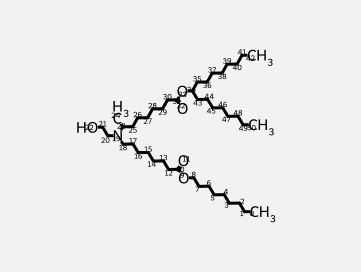 CCCCCCCCCOC(=O)CCCCCCCN(CCO)C(C)CCCCCCC(=O)OC(CCCCCCCC)CCCCCCCC